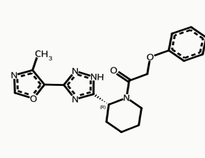 Cc1ncoc1-c1n[nH]c([C@H]2CCCCN2C(=O)COc2ccccc2)n1